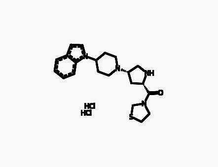 Cl.Cl.O=C([C@@H]1C[C@H](N2CCC(n3ccc4ccccc43)CC2)CN1)N1CCSC1